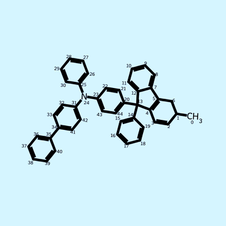 CC1C=CC2=C(C1)c1ccccc1C2(c1ccccc1)c1ccc(N(c2ccccc2)c2ccc(-c3ccccc3)cc2)cc1